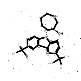 O[C@@H]1CNCCC[C@H]1n1c2ccc(C(F)(F)F)cc2c2nc(C(F)(F)F)ccc21